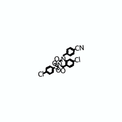 N#Cc1ccc(Cn2c(=O)n(S(=O)(=O)c3ccc(Cl)cc3)c(=O)c3ccc(Cl)cc32)cc1